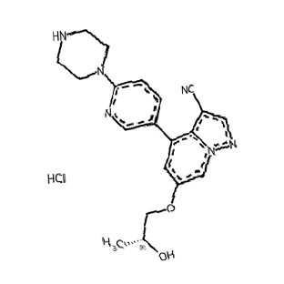 C[C@@H](O)COc1cc(-c2ccc(N3CCNCC3)nc2)c2c(C#N)cnn2c1.Cl